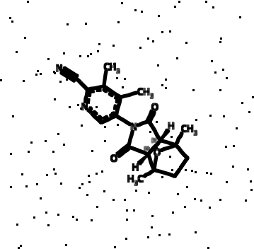 Cc1c(N2C(=O)[C@@H]3[C@H](C2=O)C2(C)CCC3(C)O2)cnc(C#N)c1C